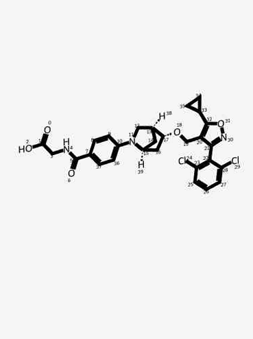 O=C(O)CNC(=O)c1ccc(N2C[C@@H]3C[C@H]2C[C@H]3OCc2c(-c3c(Cl)cccc3Cl)noc2C2CC2)cc1